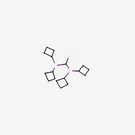 CCCCC(P(C1CCC1)C1CCC1)P(C1CCC1)C1CCC1